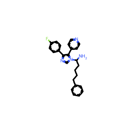 NC(CCCCc1ccccc1)n1cnc(-c2ccc(F)cc2)c1-c1ccncc1